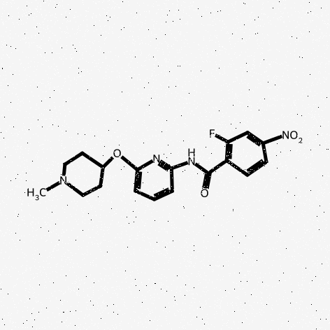 CN1CCC(Oc2cccc(NC(=O)c3ccc([N+](=O)[O-])cc3F)n2)CC1